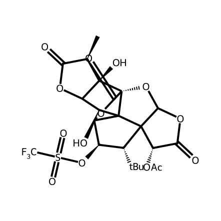 CC(=O)O[C@H]1C(=O)OC2O[C@@]34C(=O)OC5[C@H](OS(=O)(=O)C(F)(F)F)[C@@H](C(C)(C)C)C21C53[C@@H](O)C1OC(=O)[C@@H](C)[C@@]14O